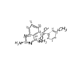 Cc1cccc(S(=O)(=O)c2cccc3nc(N)nc(N)c23)c1